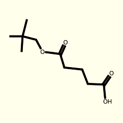 CC(C)(C)COC(=O)CCCC(=O)O